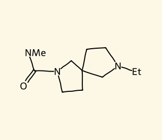 CCN1CCC2(CCN(C(=O)NC)C2)C1